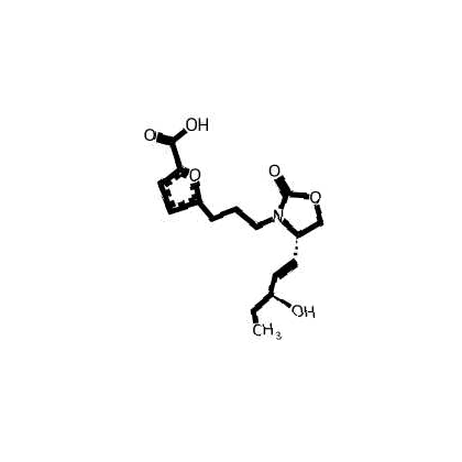 CC[C@H](O)/C=C/[C@H]1COC(=O)N1CCCc1ccc(C(=O)O)o1